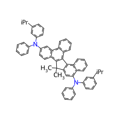 CC(C)c1cccc(N(c2ccccc2)c2ccc3c4c(c5ccccc5c3c2)-c2c(cc(N(c3ccccc3)c3cccc(C(C)C)c3)c3ccccc23)C4(C)C)c1